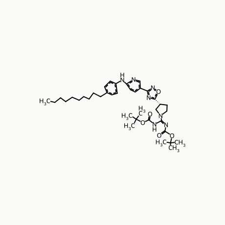 CCCCCCCCCCc1ccc(Nc2ccc(-c3noc([C@@H]4CCN(C(=NC(=O)OC(C)(C)C)NC(=O)OC(C)(C)C)C4)n3)cn2)cc1